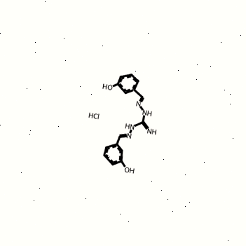 Cl.N=C(NN=Cc1cccc(O)c1)NN=Cc1cccc(O)c1